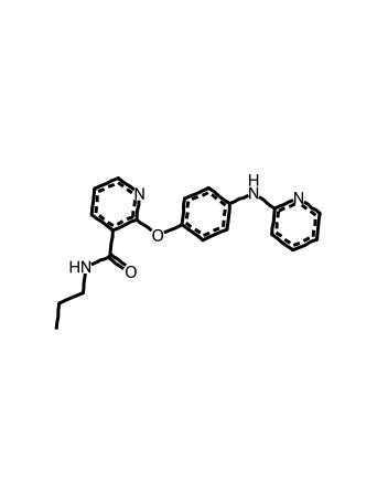 CCCNC(=O)c1cccnc1Oc1ccc(Nc2ccccn2)cc1